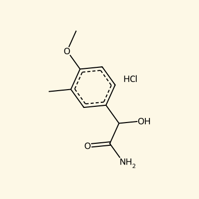 COc1ccc(C(O)C(N)=O)cc1C.Cl